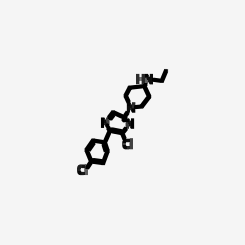 CCNC1CCN(c2cnc(-c3ccc(Cl)cc3)c(Cl)n2)CC1